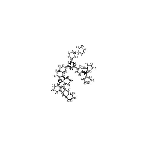 c1ccc(-c2cccc(-c3nc(-c4ccc5ccc6oc7c(-n8c9ccccc9c9cc%10ccccc%10cc98)cccc7c6c5c4)nc(-c4ccc5c(c4)c4ccccc4n5-c4ccccc4)n3)c2)cc1